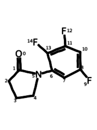 O=C1CCCN1c1cc(F)cc(F)c1F